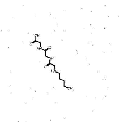 CCCCCNCC(=O)NCC(=O)NCC(=O)O